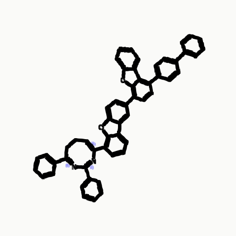 C1=C(c2cccc3c2oc2ccc(-c4ccc(-c5ccc(-c6ccccc6)cc5)c5c4oc4ccccc45)cc23)/N=C(c2ccccc2)\N=C(\c2ccccc2)CC\1